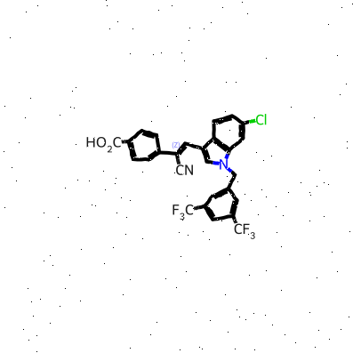 N#C/C(=C\c1cn(Cc2cc(C(F)(F)F)cc(C(F)(F)F)c2)c2cc(Cl)ccc12)c1ccc(C(=O)O)cc1